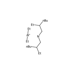 CCCCC(CC)C[N-]CC(CC)CCCC.C[CH2][Al+][CH2]C